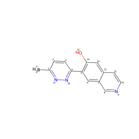 Bc1ccc(-c2cc3cnccc3cc2O)nn1